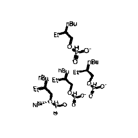 CCCCC(CC)CO[PH](=O)[O-].CCCCC(CC)CO[PH](=O)[O-].CCCCC(CC)CO[PH](=O)[O-].CCCCC(CC)CO[PH](=O)[O-].[Ni+2].[Ni+2]